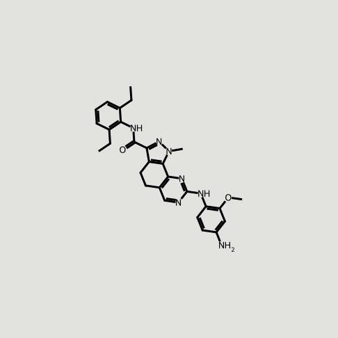 CCc1cccc(CC)c1NC(=O)c1nn(C)c2c1CCc1cnc(Nc3ccc(N)cc3OC)nc1-2